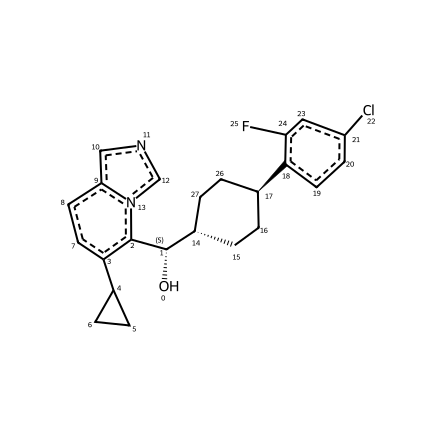 O[C@H](c1c(C2CC2)ccc2cncn12)[C@H]1CC[C@H](c2ccc(Cl)cc2F)CC1